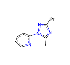 Cc1nc(C(C)C)nn1-c1ccccn1